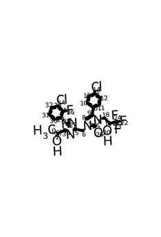 C[C@H](O)c1nc(Cn2cc(-c3ccc(Cl)cc3)n(CC(O)C(F)(F)F)c2=O)nn1-c1cccc(Cl)c1F